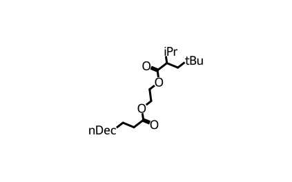 CCCCCCCCCCCCC(=O)OCCOC(=O)C(CC(C)(C)C)C(C)C